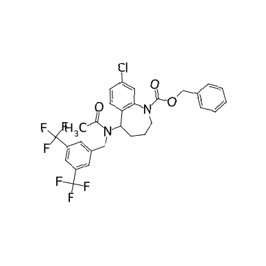 CC(=O)N(Cc1cc(C(F)(F)F)cc(C(F)(F)F)c1)C1CCCN(C(=O)OCc2ccccc2)c2cc(Cl)ccc21